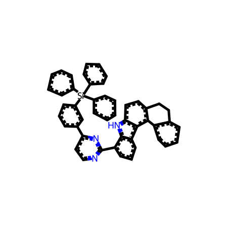 c1ccc([Si](c2ccccc2)(c2ccccc2)c2cccc(-c3ccnc(-c4cccc5c4[nH]c4ccc6c(c45)-c4ccccc4CC6)n3)c2)cc1